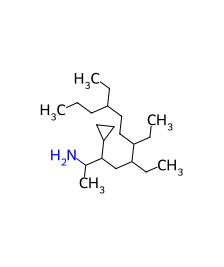 CCCC(CC)CCC(CC)C(CC)CC(C(C)N)C1CC1